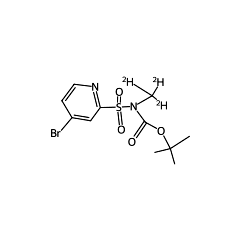 [2H]C([2H])([2H])N(C(=O)OC(C)(C)C)S(=O)(=O)c1cc(Br)ccn1